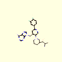 CC(C)[C@H](O)[C@@]1(N)CCCN(c2cnc(-c3ccc(F)c(F)c3)cc2Cn2cnc3c(N)ncnc32)C1